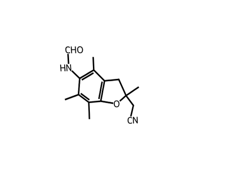 Cc1c(C)c2c(c(C)c1NC=O)CC(C)(CC#N)O2